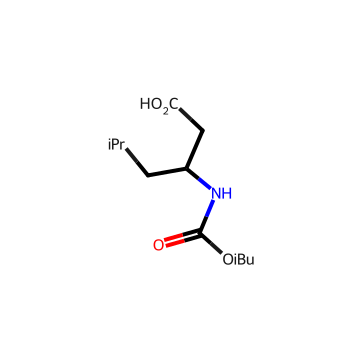 CC(C)COC(=O)NC(CC(=O)O)CC(C)C